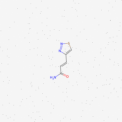 NC(=O)C=Cc1csnn1